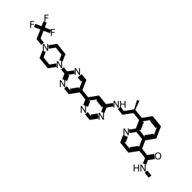 CNC(=O)c1ccnc2c([C@H](C)CNc3cc(-c4cnc(N5CCN(CC(F)(F)F)CC5)nc4)ncn3)cccc12